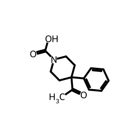 CC(=O)C1(c2ccccc2)CCN(C(=O)O)CC1